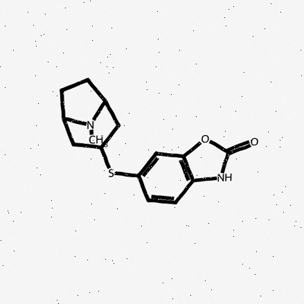 CN1C2CCC1CC(Sc1ccc3[nH]c(=O)oc3c1)C2